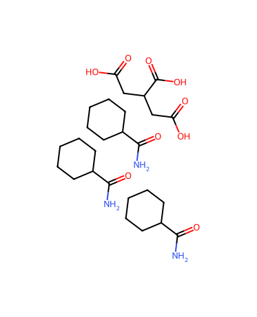 NC(=O)C1CCCCC1.NC(=O)C1CCCCC1.NC(=O)C1CCCCC1.O=C(O)CC(CC(=O)O)C(=O)O